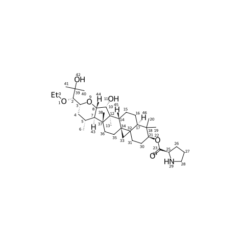 CCO[C@@H]([C@H]1C[C@@H](C)[C@H]2[C@H](O1)[C@H](O)[C@@]1(C)[C@@H]3CC[C@H]4C(C)(C)[C@@H](OC(=O)[C@H]5CCCN5)CCC45C[C@@]35CC[C@]21C)C(C)(C)O